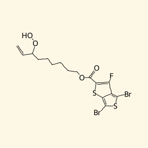 C=CC(CCCCCCOC(=O)c1sc2c(Br)sc(Br)c2c1F)OO